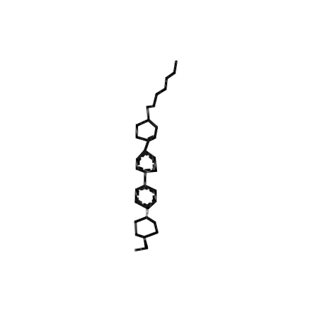 CCCCCCCC1CC=C(c2ccc(-c3ccc([C@H]4CC[C@H](CC)CC4)cc3)cc2)CC1